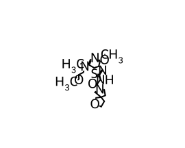 COCCN(C)C1=CN=C(OC)C2N=C(NC(=O)N3CCC4(CCOC4)C3)SC12